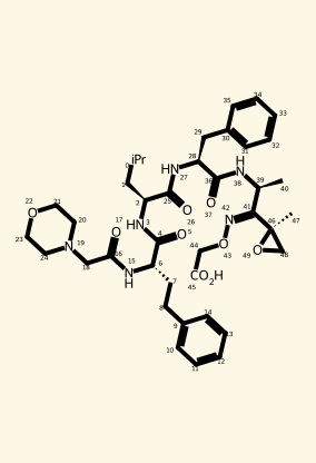 CC(C)C[C@H](NC(=O)[C@H](CCc1ccccc1)NC(=O)CN1CCOCC1)C(=O)N[C@@H](Cc1ccccc1)C(=O)N[C@@H](C)/C(=N/OCC(=O)O)[C@@]1(C)CO1